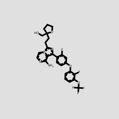 Nc1nccn2c(CCC3(CO)CCCO3)nc(-c3ccc(Oc4cccc(OC(F)(F)F)c4F)cc3F)c12